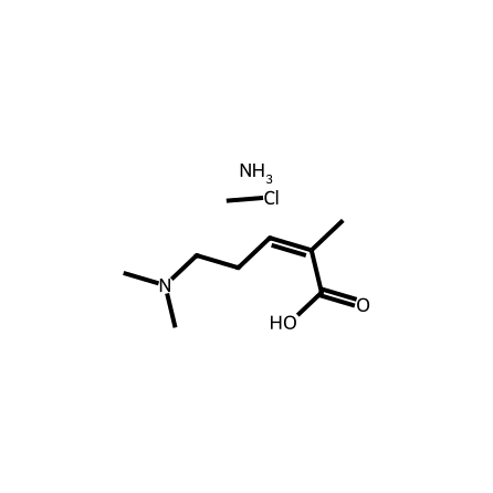 CC(=CCCN(C)C)C(=O)O.CCl.N